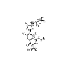 CC1CN(c2c(F)cc3c(=O)c(C(=O)O)cn(CCF)c3c2F)CC1NC(=O)OC(C)(C)C